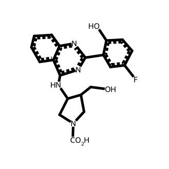 O=C(O)N1CC(CO)C(Nc2nc(-c3cc(F)ccc3O)nc3ccccc23)C1